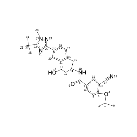 CC(C)Oc1ccc(C(=O)NC(CCO)Cc2ccc(-c3nc(C(C)(C)C)n(C)n3)cc2)cc1C#N